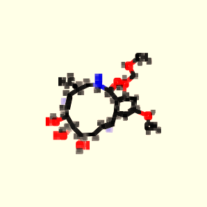 COCOc1cc(OC)cc2c1C(=O)NC[C@H](C)/C=C\C(O)[C@@H](O)[C@@H](O)C/C=C/2